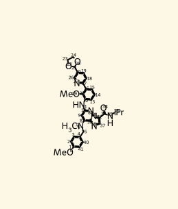 COc1ccc(CN(C)c2cc(Nc3cccc(-c4ccc(C5OCCO5)cn4)c3OC)nn3c(C(=O)NC(C)C)cnc23)cc1